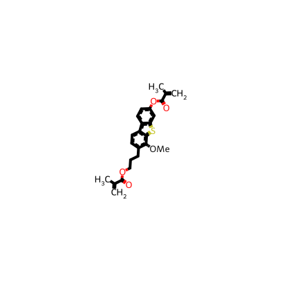 C=C(C)C(=O)OCCCc1ccc2c(sc3cc(OC(=O)C(=C)C)ccc32)c1OC